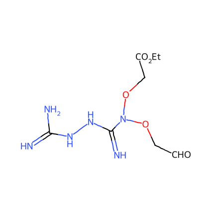 CCOC(=O)CON(OCC=O)C(=N)NNC(=N)N